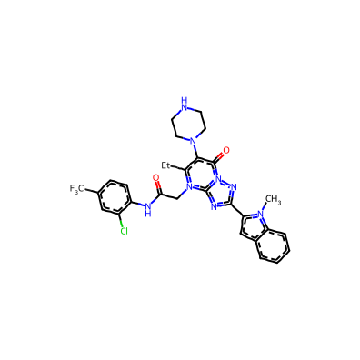 CCc1c(N2CCNCC2)c(=O)n2nc(-c3cc4ccccc4n3C)nc2n1CC(=O)Nc1ccc(C(F)(F)F)cc1Cl